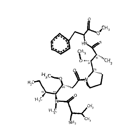 CC[C@H](C)[C@@H]([C@@H](CC(=O)N1CCC[C@H]1[C@H](OC)[C@@H](C)C(=S)NC(Cc1ccccc1)C(=O)OC)OC)N(C)C(=O)C(N)C(C)C